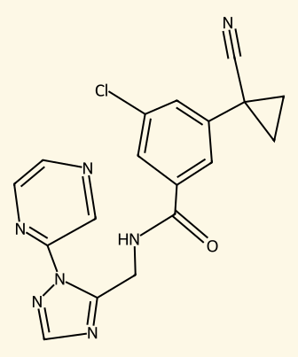 N#CC1(c2cc(Cl)cc(C(=O)NCc3ncnn3-c3cnccn3)c2)CC1